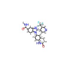 CNC(=O)c1ccc2c(c1)nc(-c1ccncc1C(F)(F)F)n2-c1ccc2c(c1)CCC(=O)N2